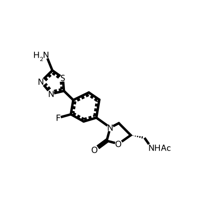 CC(=O)NC[C@H]1CN(c2ccc(-c3nnc(N)s3)c(F)c2)C(=O)O1